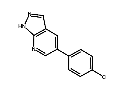 Clc1ccc(-c2cnc3[nH]ncc3c2)cc1